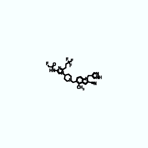 Cc1c(CN2CCC(n3cc(NC(=O)CF)nc3CCC(F)(F)F)CC2)ccc2c1cc(C#N)n2Cc1cn[nH]c1